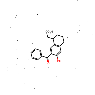 O=C(O)CC1CCCc2cc(O)c(C(=O)c3ccccc3)cc21